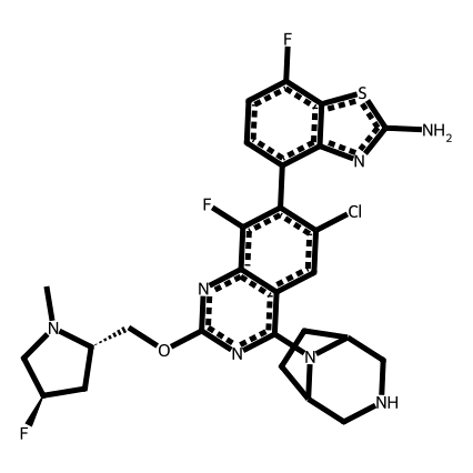 CN1C[C@H](F)C[C@H]1COc1nc(N2C3CCC2CNC3)c2cc(Cl)c(-c3ccc(F)c4sc(N)nc34)c(F)c2n1